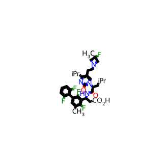 Cc1cc(-c2c(F)cccc2F)c(F)c(C(CC(=O)O)NC(=O)C(CC(C)C)n2cc(CCN3CC(C)(F)C3)c(C(C)C)nc2=O)c1F